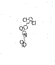 CC(C)(C)OC(=O)CCCN1CCC2(CC1)COc1cc(C=Cc3c(Cl)cccc3Cl)ccc12